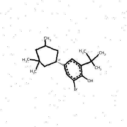 CC1C[C@H](c2cc(Br)c(O)c(C(C)(C)C)c2)CC(C)(C)C1